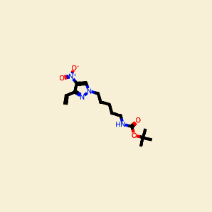 C=Cc1nn(CCCCCNC(=O)OC(C)(C)C)cc1[N+](=O)[O-]